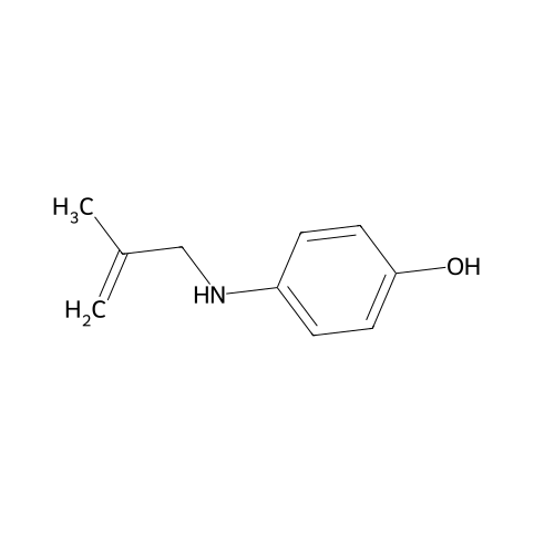 C=C(C)CNc1ccc(O)cc1